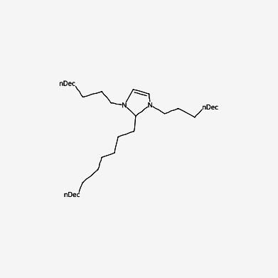 CCCCCCCCCCCCCCCCC1N(CCCCCCCCCCCCC)C=CN1CCCCCCCCCCCCC